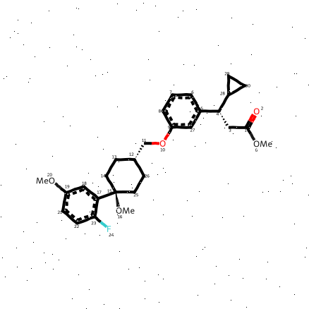 COC(=O)C[C@H](c1cccc(OC[C@H]2CC[C@@](OC)(c3cc(OC)ccc3F)CC2)c1)C1CC1